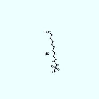 CCCCCCCCCCCCS(=O)(=O)O.[Na+].[OH-]